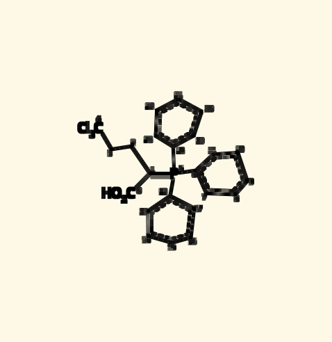 O=C(O)C(CCC(Cl)(Cl)Cl)=P(c1ccccc1)(c1ccccc1)c1ccccc1